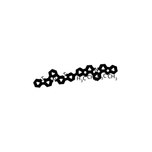 CC1(C)c2ccccc2-c2ccc3c(c21)c1cccc2c4c5c(ccc4n3c12)-c1ccc(-c2ccc3c(c2)sc2c3ccc3c2c2cccc4c6c7sc8ccccc8c7ccc6n3c42)cc1C5(C)C